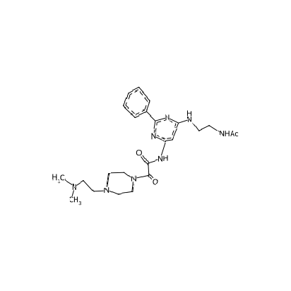 CC(=O)NCCNc1cc(NC(=O)C(=O)N2CCN(CCN(C)C)CC2)nc(-c2ccccc2)n1